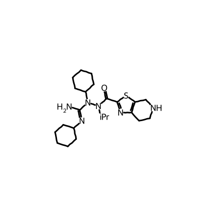 CC(C)N(C(=O)c1nc2c(s1)CNCC2)N(C(N)=NC1CCCCC1)C1CCCCC1